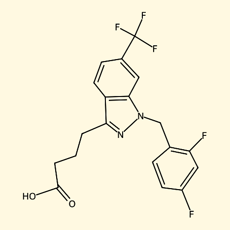 O=C(O)CCCc1nn(Cc2ccc(F)cc2F)c2cc(C(F)(F)F)ccc12